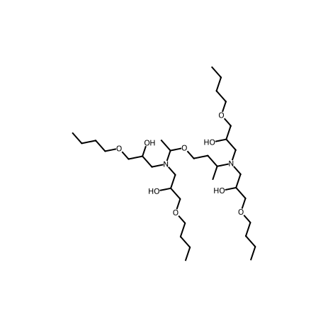 CCCCOCC(O)CN(CC(O)COCCCC)C(C)CCOC(C)N(CC(O)COCCCC)CC(O)COCCCC